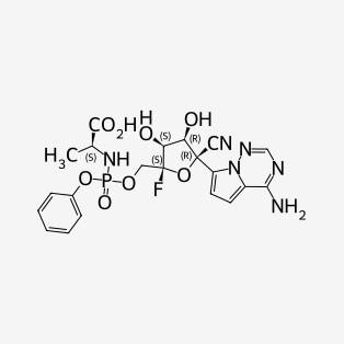 C[C@H](NP(=O)(OC[C@@]1(F)O[C@@](C#N)(c2ccc3c(N)ncnn23)[C@H](O)[C@@H]1O)Oc1ccccc1)C(=O)O